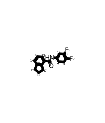 O=C(Nc1ccc(F)c(F)c1)c1cccc2c1CCC2